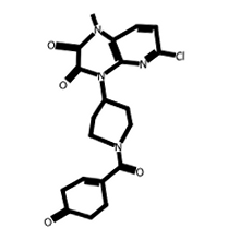 Cn1c(=O)c(=O)n(C2CCN(C(=O)C3=CCC(=O)CC3)CC2)c2nc(Cl)ccc21